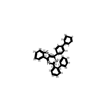 c1ccc(-c2ccc(-c3nc(-c4ccccc4-c4ccccc4)nc4c3sc3ccccc34)cc2)cc1